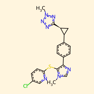 Cn1nnc([C@H]2CC2c2ccc(-c3ncn(C)c3Sc3ccc(Cl)cn3)cc2)n1